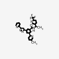 Cc1ccc(-c2cc(C(=O)N[C@H](C)c3ccc(C(F)(F)F)nc3)cc(C3=NOC(c4ccccn4)C3)c2)nc1